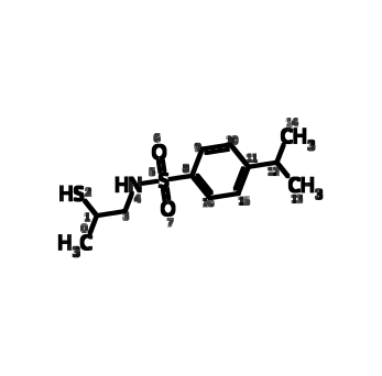 CC(S)CNS(=O)(=O)c1ccc(C(C)C)cc1